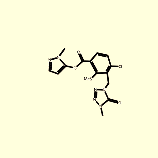 CSc1c(C(=O)Oc2ccnn2C)ccc(Cl)c1Cn1nnn(C)c1=O